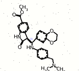 COC(=O)c1ccc2c(c1)NC(=O)/C2=C(\Nc1ccc(CN(C)C)cc1)c1ccc2c(c1)OCCO2